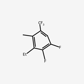 CCc1c(C)c(C(F)(F)F)cc(F)c1F